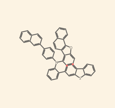 c1ccc(N(c2ccc(-c3ccc4ccccc4c3)cc2)c2cccc3oc4c5ccccc5ccc4c23)c(-c2ccc3c(c2)sc2ccccc23)c1